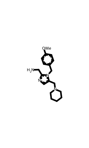 COc1ccc(Cn2c(CN3CCCCC3)cnc2CN)cc1